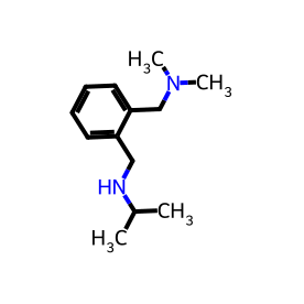 CC(C)NCc1ccccc1CN(C)C